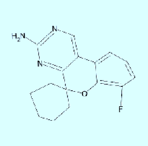 Nc1ncc2c(n1)C1(CCCCC1)Oc1c(F)cccc1-2